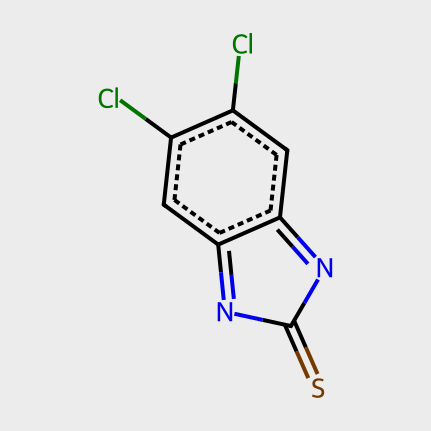 S=C1N=c2cc(Cl)c(Cl)cc2=N1